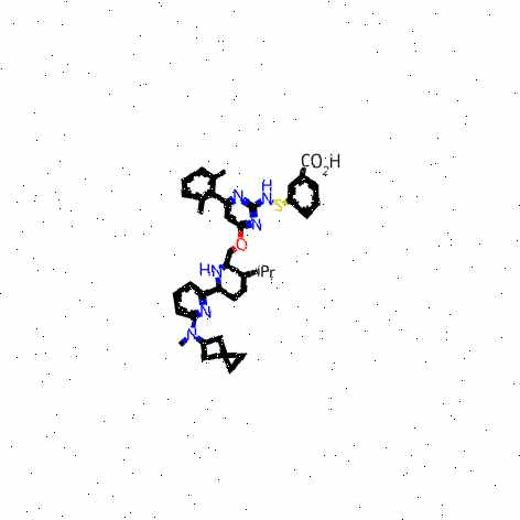 Cc1cccc(C)c1-c1cc(OCC2NC(c3cccc(N(C)C4CC5(CC5)C4)n3)CCC2C(C)C)nc(NSc2cccc(C(=O)O)c2)n1